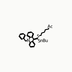 CCCCSC(SCCCCCC(C)=O)=C1c2ccccc2N(Cc2ccccc2)c2ccccc21